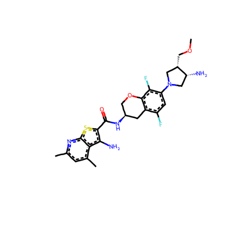 COC[C@H]1CN(c2cc(F)c3c(c2F)OC[C@H](NC(=O)c2sc4nc(C)cc(C)c4c2N)C3)C[C@H]1N